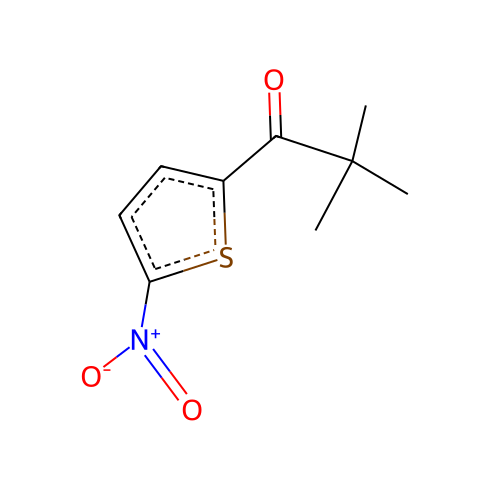 CC(C)(C)C(=O)c1ccc([N+](=O)[O-])s1